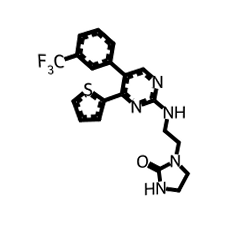 O=C1NCCN1CCNc1ncc(-c2cccc(C(F)(F)F)c2)c(-c2cccs2)n1